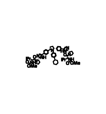 COC(=O)N[C@H](C(=O)N1CCC[C@H]1c1ncc(-c2ccc([C@H]3CC[C@H](c4ccc(-c5cnc([C@@H]6CCCN6C(=O)[C@@H](NC(=O)OC)C(C)C)[nH]5)cc4)N3c3ccc(C4CCCCC4)cc3)cc2)[nH]1)C(C)C